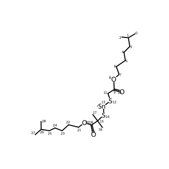 CC(C)CCCCCOC(=O)C[S][Sn][S]C(C)(C)C(=O)OCCCCCC(C)C